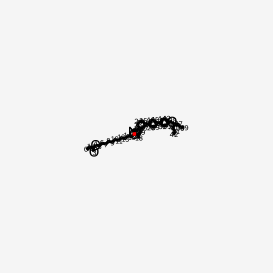 C=CC(=O)OCCCCCCCCCCCOC(C)CC1(C#N)CCCC(c2ccc(-c3ccc(OC(CCC)CCC)cc3)cc2)C1